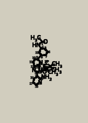 CC(=O)Nc1cccc(-c2ccc3nc(-c4cccnc4N)n(O[Si](C)(C)C(C)(C)C)c3n2)c1